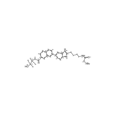 CC(C)(C)OC(=O)NCCCCc1nc2ccc(-c3ccc4ccc(BOC(C)(C)C(C)(C)O)cc4c3)cc2[nH]1